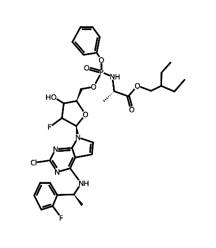 CCC(CC)COC(=O)[C@H](C)NP(=O)(OC[C@H]1O[C@@H](n2ccc3c(N[C@@H](C)c4ccccc4F)nc(Cl)nc32)C(F)C1O)Oc1ccccc1